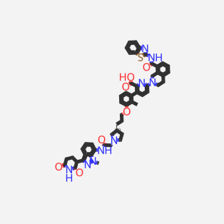 Cc1c(OCCC[C@@H]2CCN(CC(=O)Nc3cccc4c(C5CCC(=O)NC5=O)nn(C)c34)C2)cccc1-c1ccc(N2CCc3cccc(C(=O)Nc4nc5ccccc5s4)c3C2)nc1C(=O)O